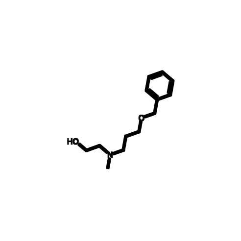 CN(CCO)CCCOCc1ccccc1